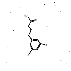 NC(=O)C[CH]Cc1cc(Cl)cc(Cl)c1